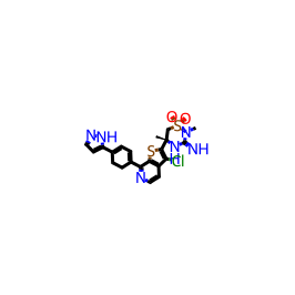 CN1C(=N)N[C@](C)(c2sc3c(C4=CC=C(c5ccn[nH]5)CC4)nccc3c2Cl)CS1(=O)=O